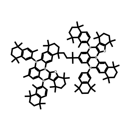 Cc1cc2c3c(c1)N(c1ccc4c(c1C)C(C)(C)CCC4(C)C)c1c(oc4c1C(C)(C)CCC4(C)C)B3c1cc3c(cc1N2c1cc2c(cc1C)C(C)(C)CCC2(C)C)C(C)(C)CCC3(C)CCC(C)(C)c1cc2c3c(c1)N(c1ccc4c(c1C)C(C)(C)CCC4(C)C)c1c(oc4c1C(C)(C)CCC4(C)C)B3c1cc3c(cc1N2c1ccc2c(c1)C(C)(C)CCC2(C)C)C(C)(C)CCC3(C)C